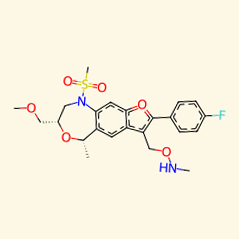 CNOCc1c(-c2ccc(F)cc2)oc2cc3c(cc12)[C@H](C)O[C@H](COC)CN3S(C)(=O)=O